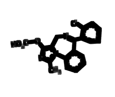 Cc1nc(OC(=O)O)c2n1-c1ccccc1C(c1ccccc1Cl)=NC2